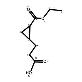 CCOC(=O)C1CC1CCC(=O)O